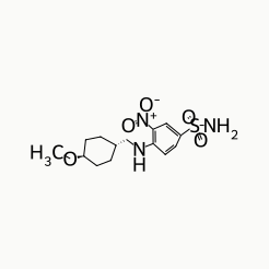 CO[C@H]1CC[C@H](CNc2ccc(S(N)(=O)=O)cc2[N+](=O)[O-])CC1